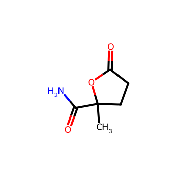 CC1(C(N)=O)CCC(=O)O1